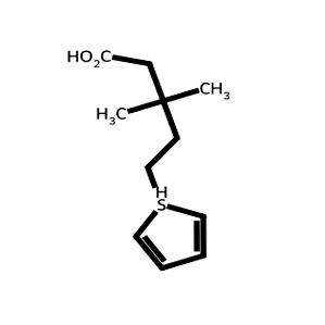 CC(C)(CC[SH]1C=CC=C1)CC(=O)O